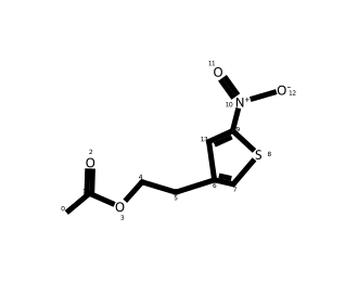 CC(=O)OCCc1csc([N+](=O)[O-])c1